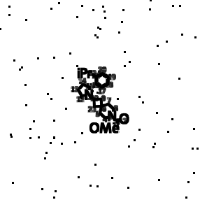 COC(=O)N1CCC2(CC1)CC(N1CCC[C@@H]1c1ccccc1C(C)C)C2